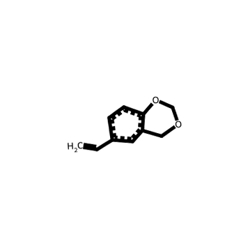 C=Cc1ccc2c(c1)COCO2